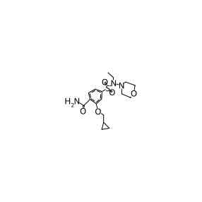 CCN(N1CCOCC1)S(=O)(=O)c1ccc(C(N)=O)c(OCC2CC2)c1